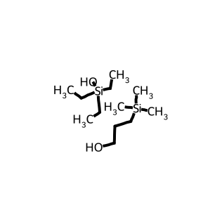 CC[Si](O)(CC)CC.C[Si](C)(C)CCCO